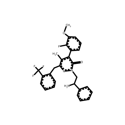 COc1cccc(-c2c(C)c(Cc3ccccc3C(F)(F)F)nn(CC(N)c3ccccc3)c2=O)c1F